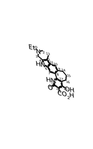 CCN(C)Cc1[nH]c2cc3c(cc2c1C)CCCc1c-3[nH]c(=O)c(C(=O)O)c1O